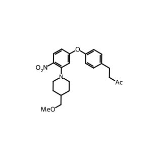 COCC1CCN(c2cc(Oc3ccc(CCC(C)=O)cc3)ccc2[N+](=O)[O-])CC1